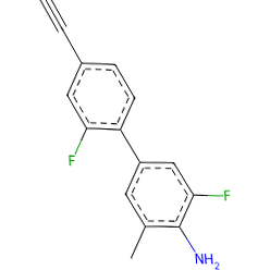 C#Cc1ccc(-c2cc(C)c(N)c(F)c2)c(F)c1